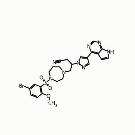 COc1ccc(Br)cc1S(=O)(=O)N1CCCN(CC(CC#N)n2cc(-c3ncnc4[nH]ccc34)cn2)CC1